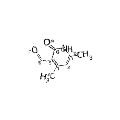 Cc1cc(C)c(C=O)c(=O)[nH]1